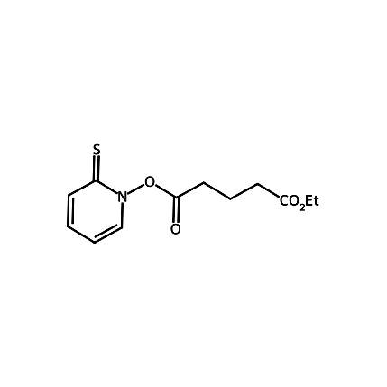 CCOC(=O)CCCC(=O)On1ccccc1=S